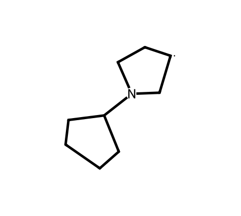 [CH]1CCN(C2CCCC2)C1